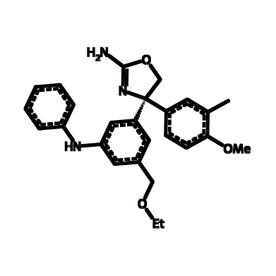 CCOCc1cc(Nc2ccccc2)cc([C@@]2(c3ccc(OC)c(C)c3)COC(N)=N2)c1